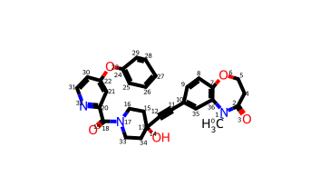 CN1C(=O)CCOc2ccc(C#CC3(O)CCN(C(=O)c4cc(Oc5ccccc5)ccn4)CC3)cc21